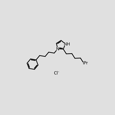 CC(C)CCCCc1[nH]cc[n+]1CCCCc1ccccc1.[Cl-]